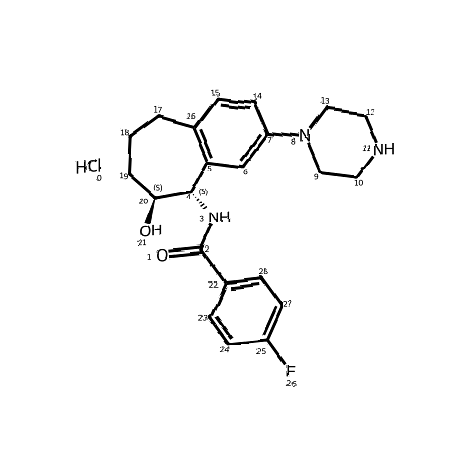 Cl.O=C(N[C@H]1c2cc(N3CCNCC3)ccc2CCC[C@@H]1O)c1ccc(F)cc1